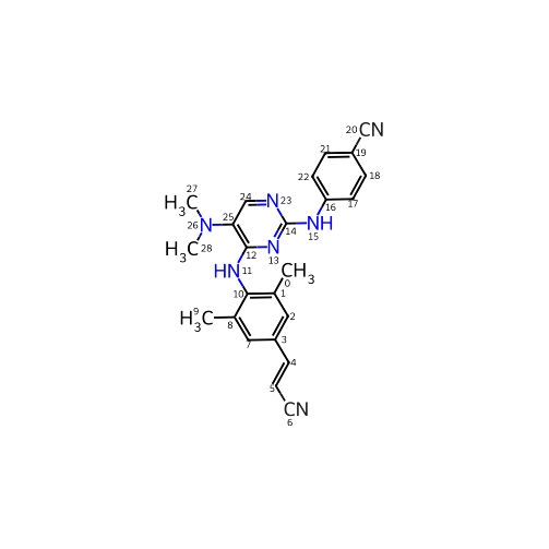 Cc1cc(/C=C/C#N)cc(C)c1Nc1nc(Nc2ccc(C#N)cc2)ncc1N(C)C